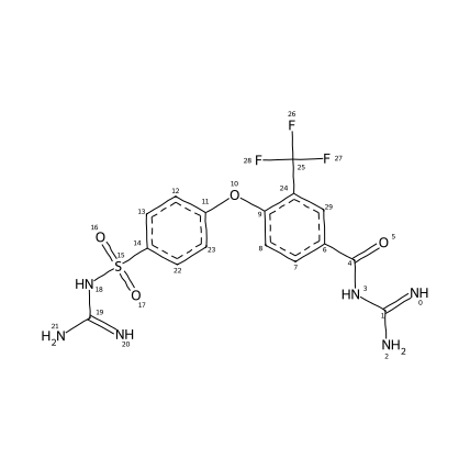 N=C(N)NC(=O)c1ccc(Oc2ccc(S(=O)(=O)NC(=N)N)cc2)c(C(F)(F)F)c1